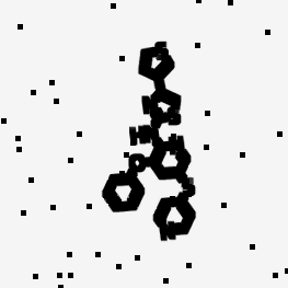 c1ccc(Oc2cc(Sc3ccncc3)cnc2Nc2nc(-c3ccsc3)cs2)cc1